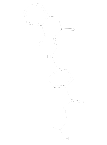 CC(C)COC(=O)c1ccc(NC=C2C(=O)Oc3ccccc3C2=O)cc1